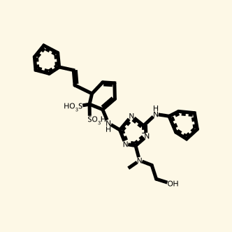 CN(CCO)c1nc(NC2=CC=CC(C=Cc3ccccc3)C2(S(=O)(=O)O)S(=O)(=O)O)nc(Nc2ccccc2)n1